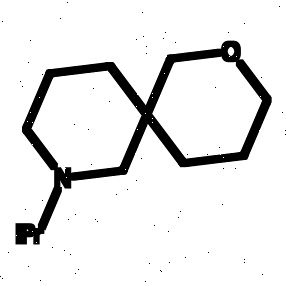 CC(C)N1CCCC2(CCCOC2)C1